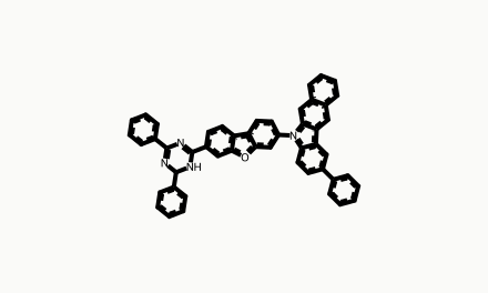 c1ccc(C2=NC(c3ccccc3)NC(c3ccc4c(c3)oc3cc(-n5c6ccc(-c7ccccc7)cc6c6cc7ccccc7cc65)ccc34)=N2)cc1